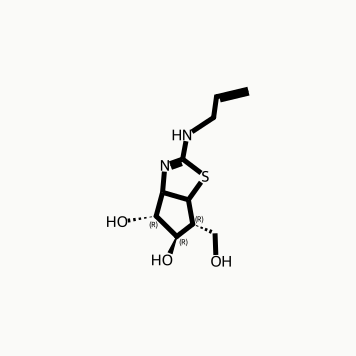 C=CCNC1=NC2C(S1)[C@H](CO)[C@@H](O)[C@@H]2O